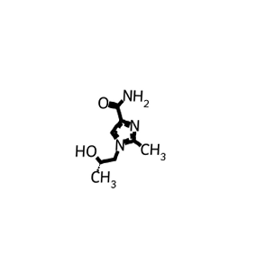 Cc1nc(C(N)=O)cn1C[C@H](C)O